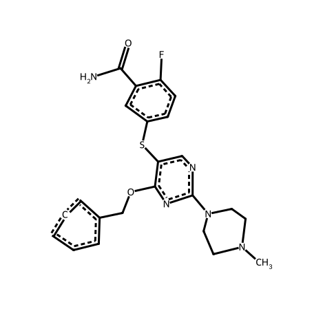 CN1CCN(c2ncc(Sc3ccc(F)c(C(N)=O)c3)c(OCc3ccccc3)n2)CC1